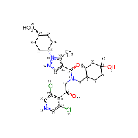 CC1(O)CCC(CN(CC(=O)c2c(Cl)cncc2Cl)C(=O)c2cnn([C@H]3CC[C@H](C(=O)O)CC3)c2C(F)(F)F)CC1